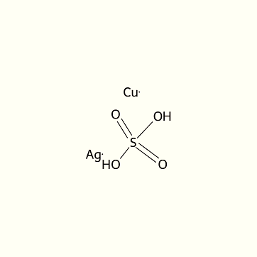 O=S(=O)(O)O.[Ag].[Cu]